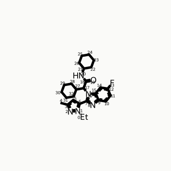 CCn1nc(C)cc1-c1nc2ccc(F)cc2n1C(C(=O)NC1CCCCC1)C1CCCCC1